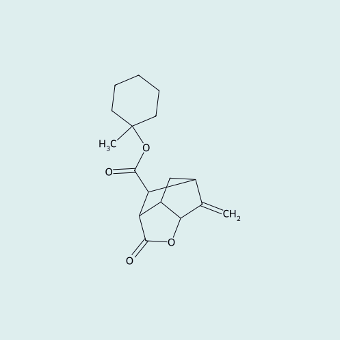 C=C1C2CC3C1OC(=O)C3C2C(=O)OC1(C)CCCCC1